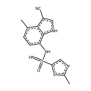 Cc1ncc(S(=N)(=O)Nc2ccc(C)c3c(C#N)c[nH]c23)s1